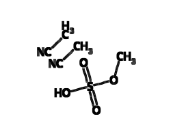 CC#N.CC#N.COS(=O)(=O)O